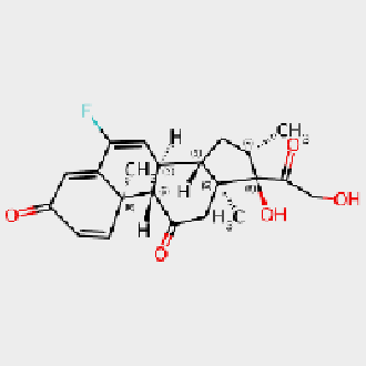 C[C@H]1C[C@H]2[C@@H]3C=C(F)C4=CC(=O)C=C[C@]4(C)[C@H]3C(=O)C[C@]2(C)[C@@]1(O)C(=O)CO